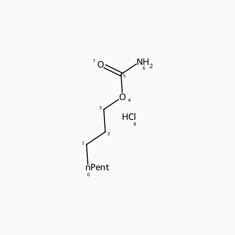 CCCCCCCCOC(N)=O.Cl